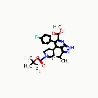 COC(=O)c1nc2[nH]nc(C(C)C)c2c(C2CCN(C(=O)OC(C)(C)C)CC2)c1-c1ccc(F)cc1